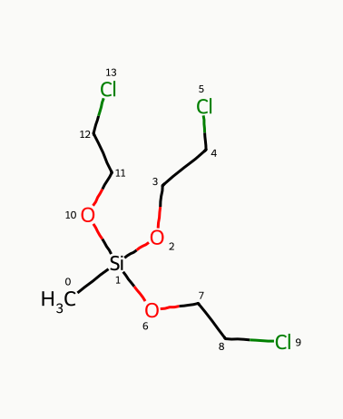 C[Si](OCCCl)(OCCCl)OCCCl